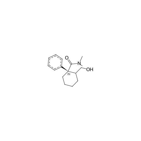 CN(C)C(=O)[C@@]1(c2ccccc2)CCCCC1CO